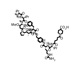 CC[C@H](C)[C@@H]([C@@H](CC(=O)N1CCC[C@H]1[C@H](OC)[C@@H](C)C(=O)N[C@@H](Cc1ccccc1)C(=O)NOCc1ccc(NC(=O)[C@@H](CCCNC(N)=O)NC(=O)[C@H](NC(=O)CCCC(=O)N2CCC(C(=O)O)CC2)C(C)C)cc1)OC)N(C)C(=O)[C@@H](NC(=O)[C@H](C(C)C)N(C)C)C(C)C